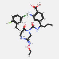 CCCC(NC(=O)N1C/C(=N/OCC)NC[C@@H](Cc2cc(Cl)ccc2F)C1=O)c1ccc(C(=O)O)c(N)c1